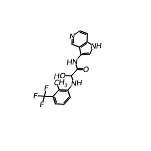 Cc1c(NC(O)C(=O)Nc2c[nH]c3ccncc23)cccc1C(F)(F)F